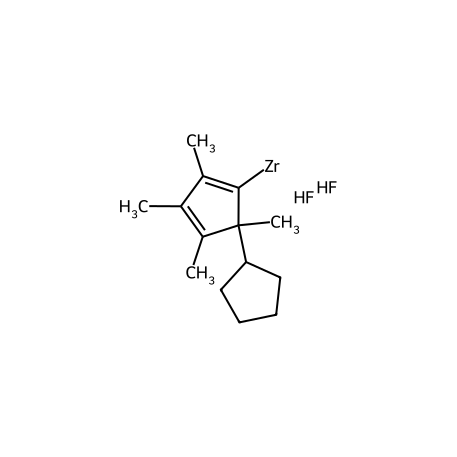 CC1=C(C)C(C)(C2CCCC2)[C]([Zr])=C1C.F.F